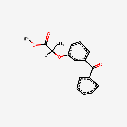 CC(C)OC(=O)C(C)(C)Oc1cccc(C(=O)c2ccccc2)c1